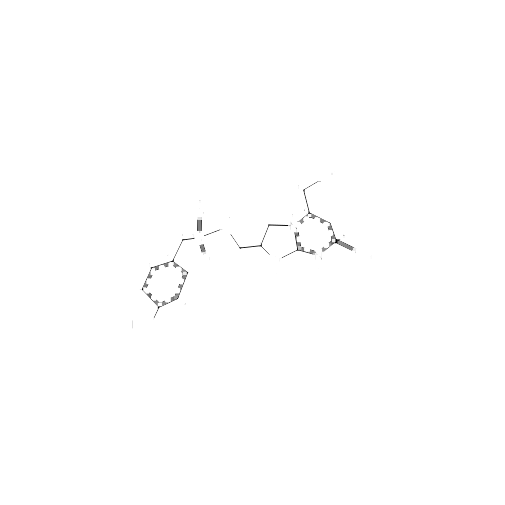 Cc1ccc(CS(=O)(=O)OCC2Cn3c(CF)cc(=O)nc3O2)cc1